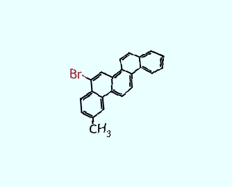 Cc1ccc2c(Br)cc3c(ccc4c5ccccc5ccc43)c2c1